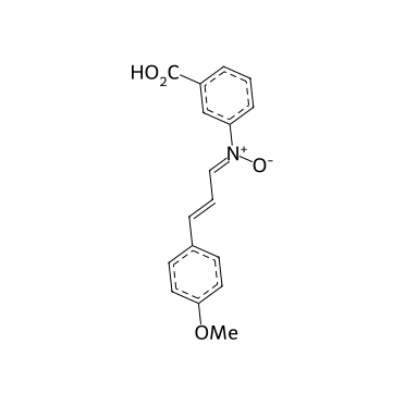 COc1ccc(C=CC=[N+]([O-])c2cccc(C(=O)O)c2)cc1